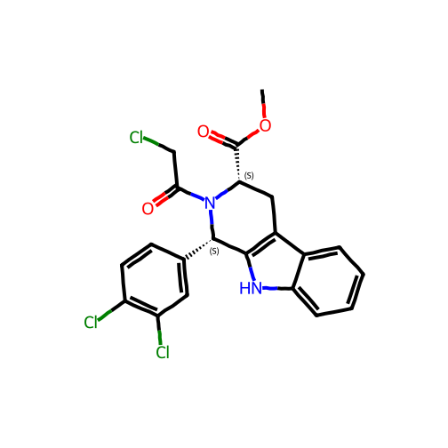 COC(=O)[C@@H]1Cc2c([nH]c3ccccc23)[C@H](c2ccc(Cl)c(Cl)c2)N1C(=O)CCl